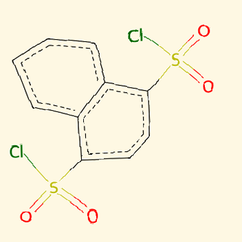 O=S(=O)(Cl)c1ccc(S(=O)(=O)Cl)c2ccccc12